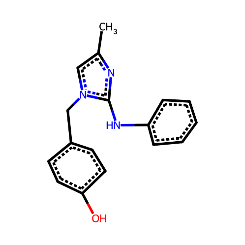 Cc1cn(Cc2ccc(O)cc2)c(Nc2ccccc2)n1